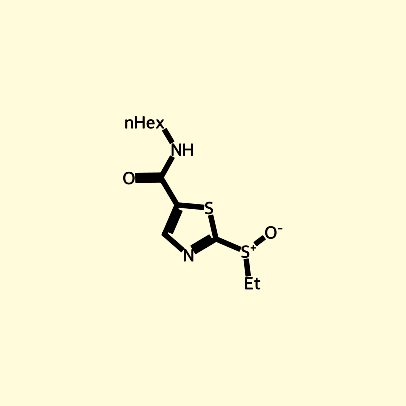 CCCCCCNC(=O)c1cnc([S+]([O-])CC)s1